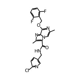 Cc1cn2c(C(=O)NCc3ccc(Cl)nc3)c(C)nc2c(OCc2c(F)cccc2F)n1